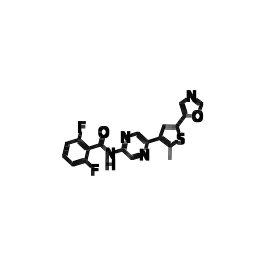 Cc1sc(-c2cnco2)cc1-c1cnc(NC(=O)c2c(F)cccc2F)cn1